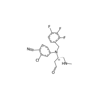 CNC[C@H](CC=O)N(Cc1ccc(F)c(F)c1F)c1ccc(C#N)c(Cl)c1